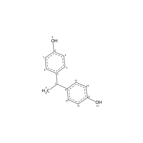 [CH2]C(c1ccc(O)cc1)c1ccc(O)cc1